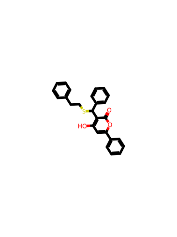 O=c1oc(-c2ccccc2)cc(O)c1C(SCCc1ccccc1)c1ccccc1